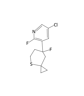 Fc1ncc(Cl)cc1C1(F)CCSC2(CC2)C1